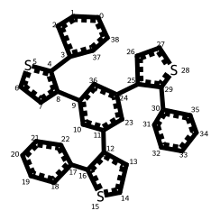 c1ccc(-c2sccc2-c2cc(-c3ccsc3-c3ccccc3)cc(-c3ccsc3-c3ccccc3)c2)cc1